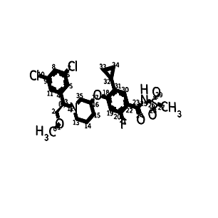 COC[C@@H](c1cc(Cl)cc(Cl)c1)N1CCCC(Oc2cc(F)c(C(=O)NS(C)(=O)=O)cc2C2CC2)C1